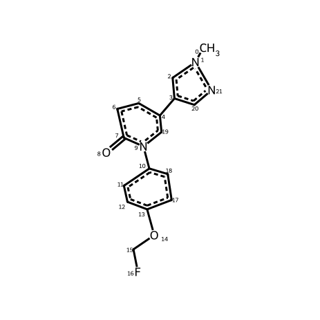 Cn1cc(-c2ccc(=O)n(-c3ccc(OCF)cc3)c2)cn1